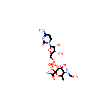 CC1OC(OP(=O)(O)OCC2OC(n3ccc(N)nc3=O)[C@H](O)[C@@H]2O)(C(=O)O)CC(O)C1NCO